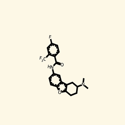 CN(C)C1CCc2oc3ccc(NC(=O)c4ccc(F)cc4C(F)(F)F)cc3c2C1